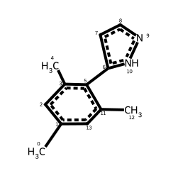 Cc1cc(C)c(-c2ccn[nH]2)c(C)c1